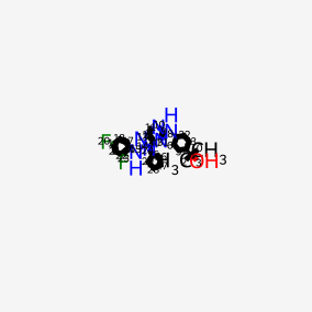 CC(C)(O)[C@H]1CC[C@H](Nc2ncc3nc(Nc4ccc(F)cc4F)n(C4CCCC4)c3n2)CC1